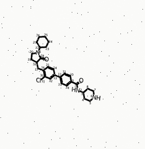 O=C(NC1CCNCC1)c1ccc(-c2ccc(CC3CCN(C4CCCCC4)C3=O)c(Cl)c2)cc1